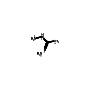 CC(=O)NN.S